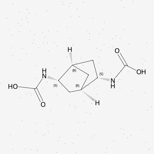 O=C(O)N[C@H]1C[C@H]2C[C@@H]1C[C@@H]2NC(=O)O